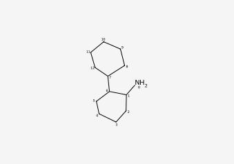 NC1CCCCC1C1CCCCC1